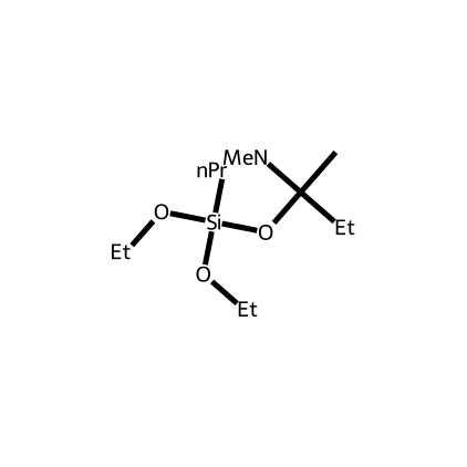 CCC[Si](OCC)(OCC)OC(C)(CC)NC